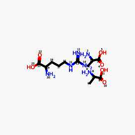 CC(N)C(=O)O.CC(N)C(=O)O.N=C(N)NCCCC(N)C(=O)O